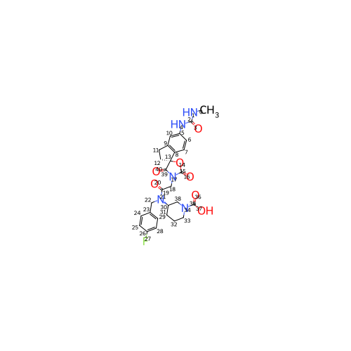 CNC(=O)Nc1ccc2c(c1)CC[C@@]21OC(=O)N(CC(=O)N(Cc2ccc(F)cc2)[C@@H]2CCCN(C(=O)O)C2)C1=O